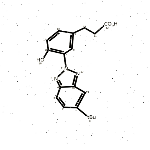 CC(C)(C)c1ccc2nn(-c3cc(CCC(=O)O)ccc3O)nc2c1